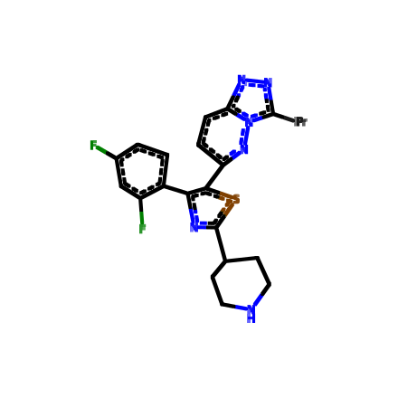 CC(C)c1nnc2ccc(-c3sc(C4CCNCC4)nc3-c3ccc(F)cc3F)nn12